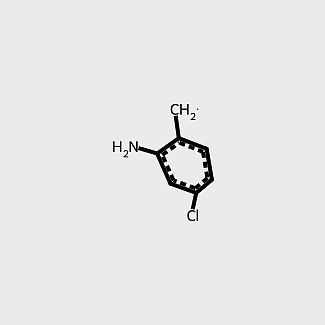 [CH2]c1ccc(Cl)cc1N